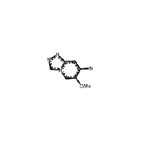 COc1cn2cnnc2cc1Br